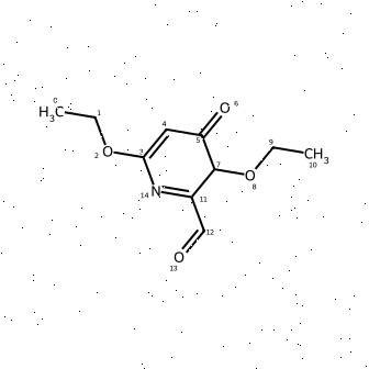 CCOC1=CC(=O)C(OCC)C(C=O)=N1